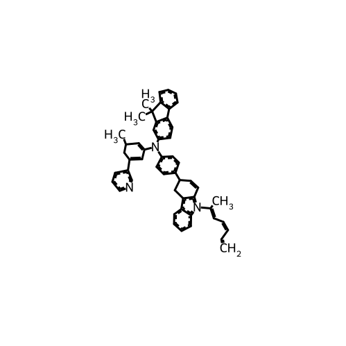 C=C/C=C\C=C(/C)n1c2c(c3ccccc31)CC(c1ccc(N(C3=CC(C)CC(c4cccnc4)=C3)c3ccc4c(c3)C(C)(C)c3ccccc3-4)cc1)C=C2